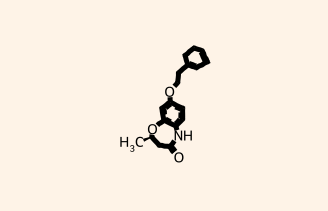 C[C@@H]1CC(=O)Nc2ccc(OCCC3=CC=CCC3)cc2O1